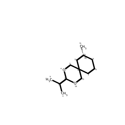 CC(C)C1OCC2(CCC[C@@H](C)C2)CO1